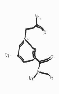 CCN(CC)C(=O)c1ccc[n+](CC(N)=O)c1.[Cl-]